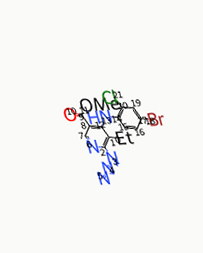 CCc1c(N=[N+]=[N-])ncc(C(=O)OC)c1Nc1ccc(Br)cc1Cl